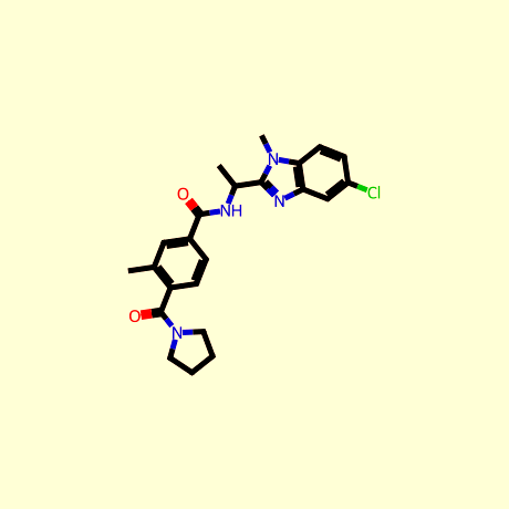 Cc1cc(C(=O)NC(C)c2nc3cc(Cl)ccc3n2C)ccc1C(=O)N1CCCC1